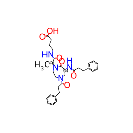 C[C@H](C(=O)NCCCC(=O)O)N1CCN(C(=O)CCc2ccccc2)C[C@H](NC(=O)CCc2ccccc2)C1=O